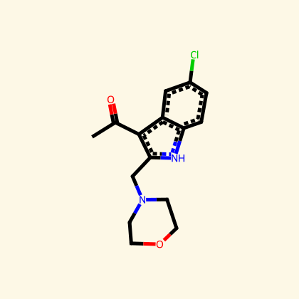 CC(=O)c1c(CN2CCOCC2)[nH]c2ccc(Cl)cc12